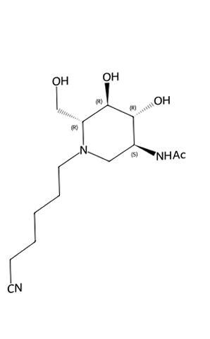 CC(=O)N[C@H]1CN(CCCCCC#N)[C@H](CO)[C@@H](O)[C@@H]1O